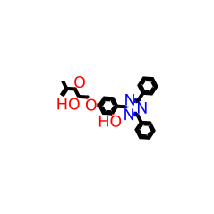 C=C(C)C(=O)C(O)COc1ccc(-c2nc(-c3ccccc3)nc(-c3ccccc3)n2)c(O)c1